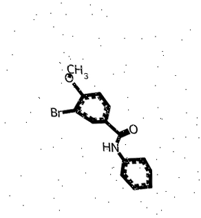 COc1ccc(C(=O)Nc2ccccc2)cc1Br